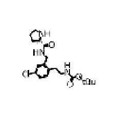 CC(C)(C)OC(=O)NCCc1ccc(Cl)cc1CNC(=O)[C@@H]1CCCN1